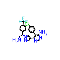 NC[C@@H](c1ccc(C(F)(F)F)cc1)n1cc(-c2ncnc(N)c2-c2ccc(Cl)cc2)cn1